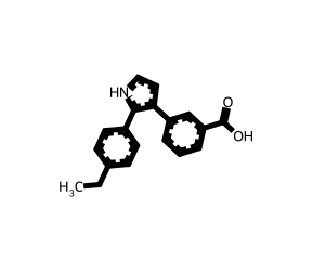 CCc1ccc(-c2[nH]ccc2-c2cccc(C(=O)O)c2)cc1